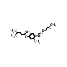 C=C(C)CCC(=N)Oc1ccc(NCOOCCOC)c(C)c1